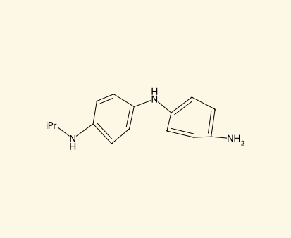 CC(C)Nc1ccc(Nc2ccc(N)cc2)cc1